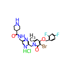 Cc1cc(OCc2ccc(F)cc2F)c(Br)c(=O)n1Cc1cnc(CNC(=O)C2CCNCC2)cn1.Cl